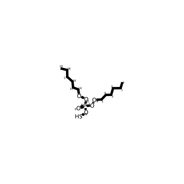 CCCCCCOOP(=O)(OS)OOCCCCCC